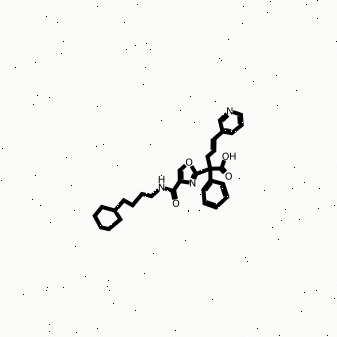 O=C(NCCCCC1CCCCC1)c1coc(C(CC=Cc2cccnc2)(C(=O)O)c2ccccc2)n1